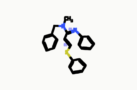 CN(Cc1ccccc1)C(/C=C/Sc1ccccc1)=N/c1ccccc1